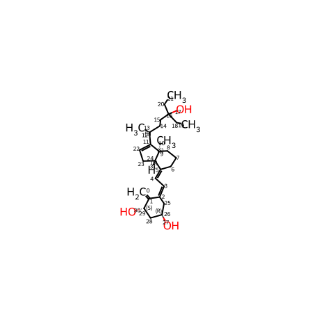 C=C1C(=CC=C2CCC[C@]3(C)C([C@@H](C)CCC(O)(CC)CC)=CC[C@@H]23)C[C@@H](O)C[C@@H]1O